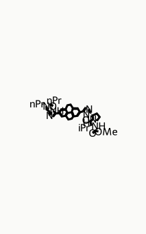 CCCC(=O)N(CCC)Cc1ncc(-c2cc3c4c(c2)CCc2cc(-c5cnc([C@@H]6CCCN6C(=O)[C@@H](NC(=O)OC)C(C)C)[nH]5)cc(c2-4)CC3)[nH]1